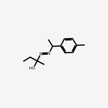 CCC(C)(O)N=NC(C)c1ccc(C)cc1